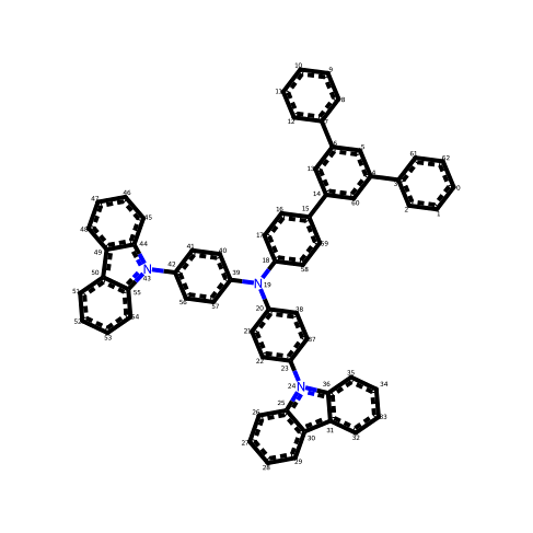 c1ccc(-c2cc(-c3ccccc3)cc(-c3ccc(N(c4ccc(-n5c6ccccc6c6ccccc65)cc4)c4ccc(-n5c6ccccc6c6ccccc65)cc4)cc3)c2)cc1